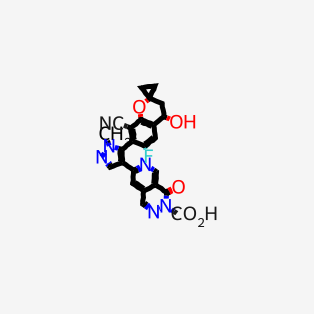 Cn1ncc(-c2cc3cnn(C(=O)O)c(=O)c3cn2)c1-c1c(F)cc2c(c1C#N)OC1(CC1)CC2O